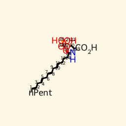 CCCCCC=CCC=CCC=CCC=CCCCC(=O)N[C@H](C(=O)O)[C@@H](C)OP(=O)(O)O